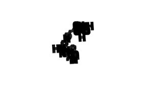 Cc1c(Br)c(=O)n(C2CCCC2)c2nc(Nc3ccc(N4CCC(CCCS(=O)(=O)c5n[nH]c(=O)[nH]5)CC4)cc3)ncc12